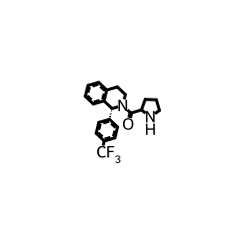 O=C(C1CCCN1)N1CCc2ccccc2[C@H]1c1ccc(C(F)(F)F)cc1